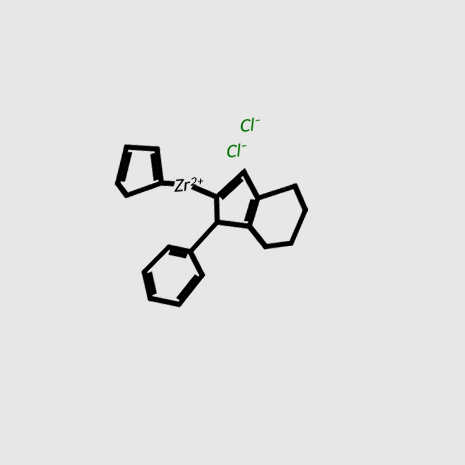 C1=CC[C]([Zr+2][C]2=CC3=C(CCCC3)C2c2ccccc2)=C1.[Cl-].[Cl-]